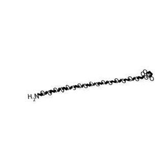 NCCOCCOCCOCCOCCOCCOCCOCCOCCOCCOCCOCCOCCOCCOCCOCCOCCC(=O)ON1C(=O)CCC1=O